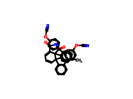 Cc1ccc(C23C(=O)NC(=O)C2=CC=CC3(c2ccccc2-c2ccc(OC#N)cc2)c2ccccc2-c2ccc(OC#N)cc2)cc1